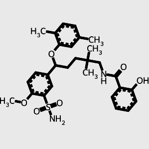 COc1ccc(C(CCC(C)(C)CNC(=O)c2ccccc2O)Oc2cc(C)ccc2C)cc1S(N)(=O)=O